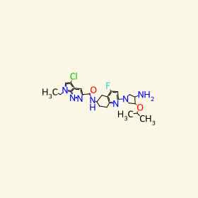 CCn1cc(Cl)c2cc(C(=O)NC3CCc4nc(N5CC(N)C(OC(C)C)C5)cc(F)c4C3)nnc21